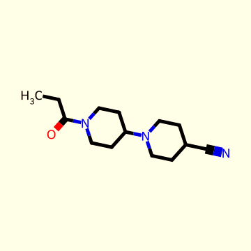 CCC(=O)N1CCC(N2CCC(C#N)CC2)CC1